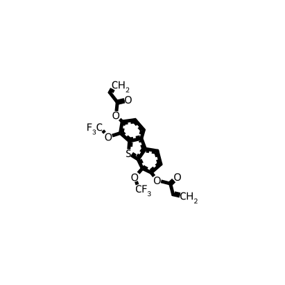 C=CC(=O)Oc1ccc2c(sc3c(OC(F)(F)F)c(OC(=O)C=C)ccc32)c1OC(F)(F)F